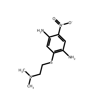 CN(C)CCSc1cc(N)c([N+](=O)[O-])cc1N